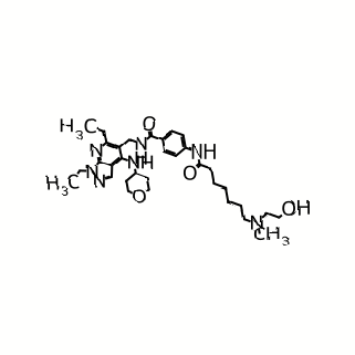 CCc1nc2c(cnn2CC)c(NC2CCOCC2)c1CNC(=O)c1ccc(NC(=O)CCCCCCN(C)CCO)cc1